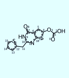 O=C(O)Oc1cc2c(=O)[nH]c(Cc3cccs3)nc2s1